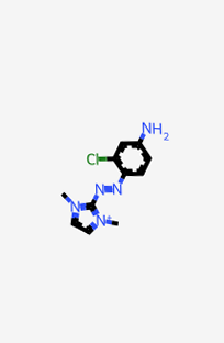 Cn1cc[n+](C)c1N=Nc1ccc(N)cc1Cl